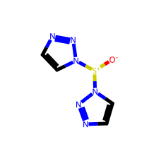 [O-][S+](n1ccnn1)n1ccnn1